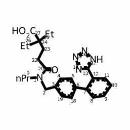 CCCN(Cc1ccc(-c2ccccc2-c2nnn[nH]2)cc1)C(=O)CCC(CC)(CC)C(=O)O